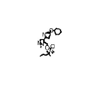 CCCC(C)(C)N(C)C(=O)OCc1c(-c2ccc(OC3CCCCC3)cn2)cnn1C